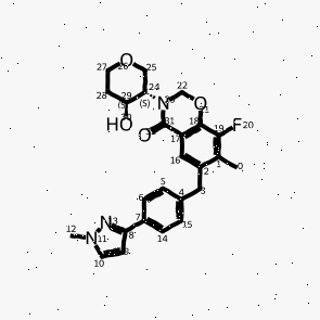 Cc1c(Cc2ccc(-c3ccn(C)n3)cc2)cc2c(c1F)OCN([C@H]1COCC[C@@H]1O)C2=O